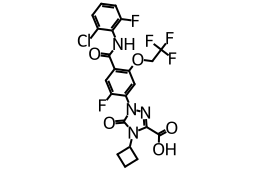 O=C(Nc1c(F)cccc1Cl)c1cc(F)c(-n2nc(C(=O)O)n(C3CCC3)c2=O)cc1OCC(F)(F)F